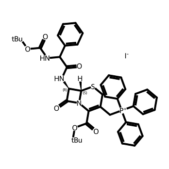 CC(C)(C)OC(=O)NC(C(=O)N[C@@H]1C(=O)N2C(C(=O)OC(C)(C)C)=C(C[P+](c3ccccc3)(c3ccccc3)c3ccccc3)CS[C@@H]12)c1ccccc1.[I-]